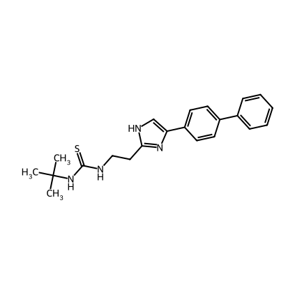 CC(C)(C)NC(=S)NCCc1nc(-c2ccc(-c3ccccc3)cc2)c[nH]1